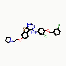 Fc1cccc(COc2ccc(Nc3ncnc4sc5cc(OCCN6CCCC6)ccc5c34)cc2Cl)c1